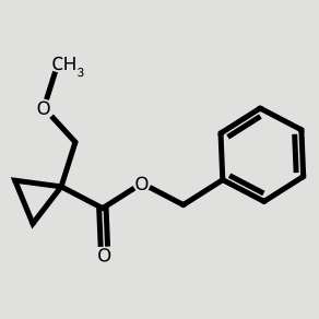 COCC1(C(=O)OCc2ccccc2)CC1